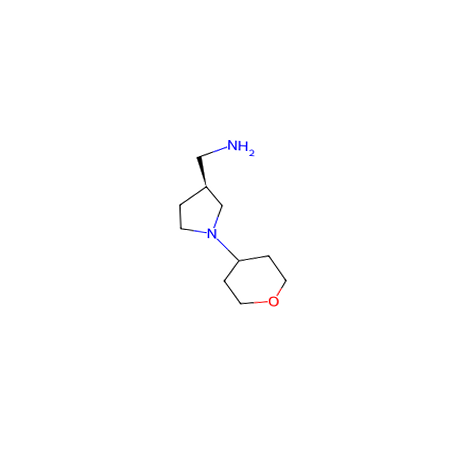 NC[C@@H]1CCN(C2CCOCC2)C1